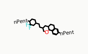 CCCCCc1ccc2c(c1)CCC1CC(CCC3CCC(CCCCC)C(F)(F)C3)COC21